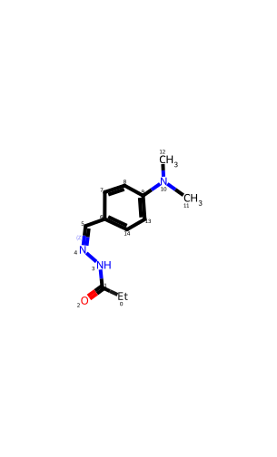 CCC(=O)N/N=C\c1ccc(N(C)C)cc1